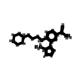 Cn1nccc1-c1cc(C(N)=O)ccc1OCCCN1CCOCC1